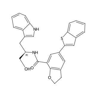 O=C(N[C@@H](CO)Cc1c[nH]c2ccccc12)c1cc(-c2cc3ccccc3s2)cc2c1OCC2